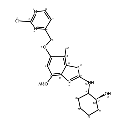 COc1cc(OCc2ccnc(Cl)n2)c(C)c2sc(NC3CCCC[C@@H]3O)nc12